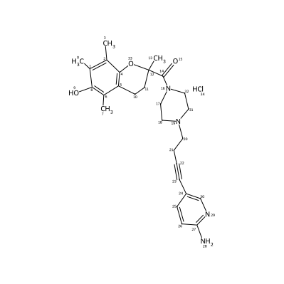 Cc1c(C)c2c(c(C)c1O)CCC(C)(C(=O)N1CCN(CCC#Cc3ccc(N)nc3)CC1)O2.Cl